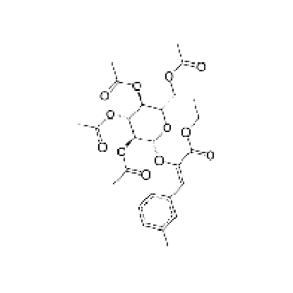 CCOC(=O)/C(=C/c1cccc(C)c1)O[C@H]1O[C@@H](COC(C)=O)[C@H](OC(C)=O)[C@@H](OC(C)=O)[C@@H]1OC(C)=O